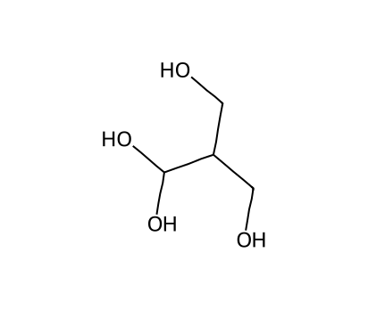 OCC(CO)C(O)O